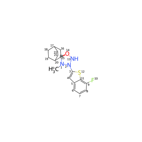 CN1N(c2cc3cccc(F)c3s2)NO[C@@]12CC1CCC2CC1